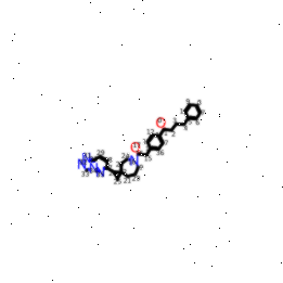 O=C(CCCc1ccccc1)c1ccc(CC(=O)N2CCCC3(CC2)CC3c2ccc3nncn3n2)cc1